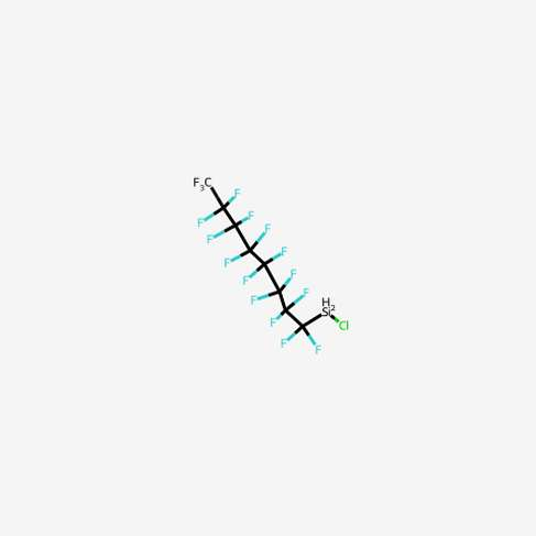 FC(F)(F)C(F)(F)C(F)(F)C(F)(F)C(F)(F)C(F)(F)C(F)(F)C(F)(F)[SiH2]Cl